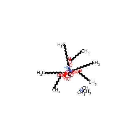 CCCCCCCCCCC[C@H](CC(=O)NCC[C@]1(NC(=O)C[C@@H](CCCCCCCCCCC)OC(=O)CCCCCCCCC)[C@H](O)O[C@H](CO)[C@@H](OP(=O)(O)O)[C@@H]1OC(=O)C[C@@H](CCCCCCCCCCC)OC(=O)CCCCCCCCC)OC(=O)CCCCCCCCC.CCN(CC)CC